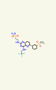 CS(=O)(=O)c1cccc(-c2ccc3nc(NCCS(N)(=O)=O)nc(NCC(F)(F)F)c3n2)c1